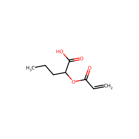 C=CC(=O)OC(CCC)C(=O)O